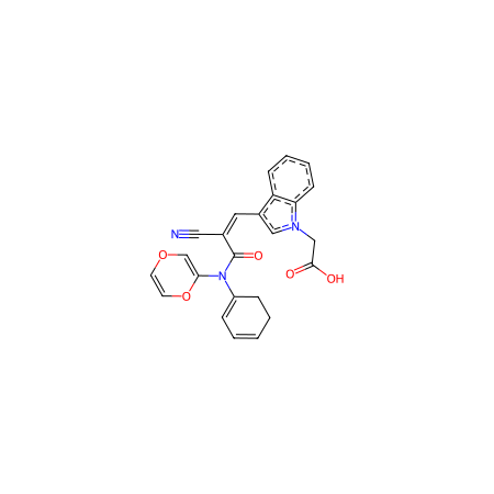 N#CC(=Cc1cn(CC(=O)O)c2ccccc12)C(=O)N(C1=CC=CCC1)C1=COC=CO1